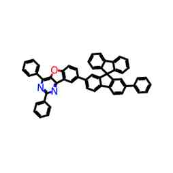 c1ccc(-c2ccc3c(c2)C2(c4ccccc4-c4ccccc42)c2cc(-c4ccc5oc6c(-c7ccccc7)nc(-c7ccccc7)nc6c5c4)ccc2-3)cc1